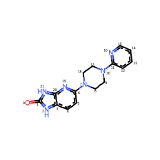 O=c1[nH]c2ccc(N3CCN(c4ccccn4)CC3)nc2[nH]1